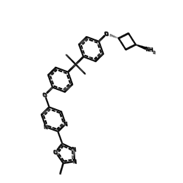 Cc1nnc(-c2ncc(Oc3ccc(C(C)(C)c4ccc(O[C@H]5C[C@H](N)C5)cc4)cc3)cn2)o1